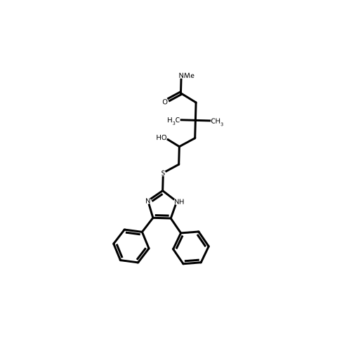 CNC(=O)CC(C)(C)CC(O)CSc1nc(-c2ccccc2)c(-c2ccccc2)[nH]1